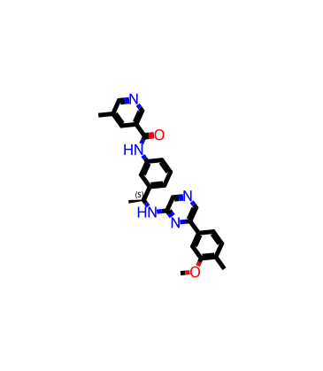 COc1cc(-c2cncc(N[C@@H](C)c3cccc(NC(=O)c4cncc(C)c4)c3)n2)ccc1C